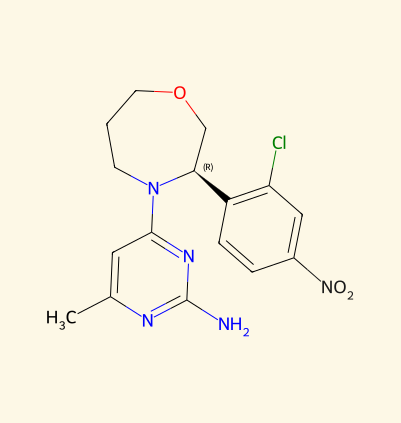 Cc1cc(N2CCCOC[C@H]2c2ccc([N+](=O)[O-])cc2Cl)nc(N)n1